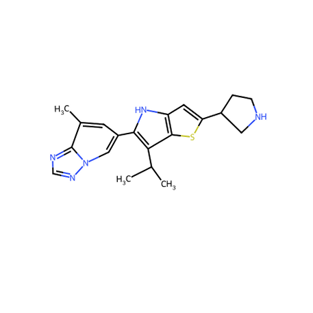 Cc1cc(-c2[nH]c3cc(C4CCNC4)sc3c2C(C)C)cn2ncnc12